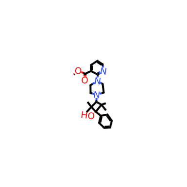 COC(=O)c1cccnc1N1CCN(C2C(C)(C)C(O)(c3ccccc3)C2(C)C)CC1